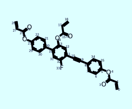 C=CC(=O)Oc1ccc(C#Cc2cc(OC(=O)C=C)c(-c3ccc(OC(=O)C=C)cc3)cc2F)cc1